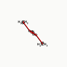 C=C(C)C(=O)OCCCCCCCCCCCCCCCCCCOc1ccc(C(=O)Oc2ccc(OC(=O)c3ccc(OCCCCCCCCCCCCCCCCCCOC(=O)C(=C)C)cc3)c(F)c2F)cc1